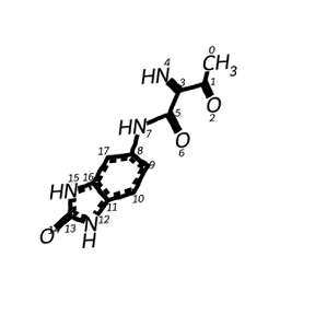 CC(=O)C(=N)C(=O)Nc1ccc2[nH]c(=O)[nH]c2c1